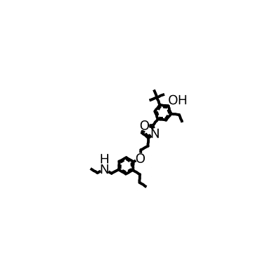 CCCc1cc(CNCC)ccc1OCCc1coc(-c2cc(CC)c(O)c(C(C)(C)C)c2)n1